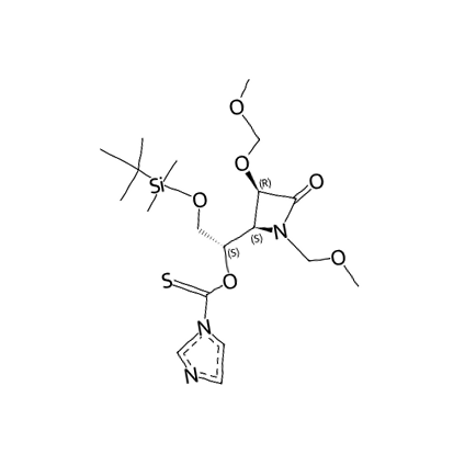 COCO[C@H]1C(=O)N(COC)[C@H]1[C@@H](CO[Si](C)(C)C(C)(C)C)OC(=S)n1ccnc1